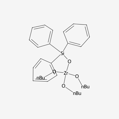 CCCC[O][Zr]([O]CCCC)([O]CCCC)[O][Si](c1ccccc1)(c1ccccc1)c1ccccc1